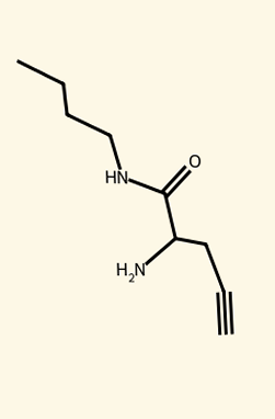 C#CCC(N)C(=O)NCCCC